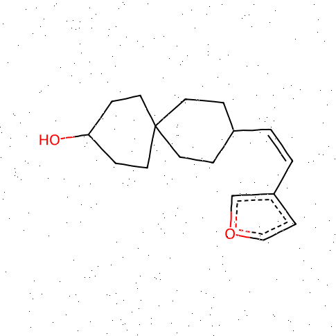 OC1CCC2(CC1)CCC(/C=C\c1ccoc1)CC2